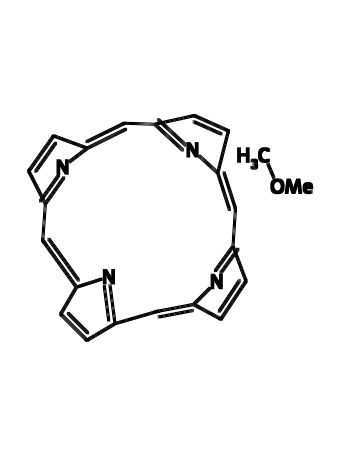 C1=CC2=NC1=CC1=NC(=CC3=NC(=CC4=NC(=C2)C=C4)C=C3)C=C1.COC